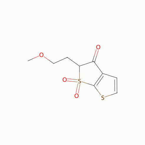 COCCC1C(=O)c2ccsc2S1(=O)=O